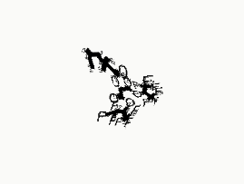 CC(C)CC(C)(C)C(=O)OC(C(=O)OC(C(F)(F)F)C(F)(F)F)C(=O)OC(C(F)(F)F)C(F)(F)F